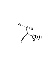 O=C(O)C(I)CI.[Tl]